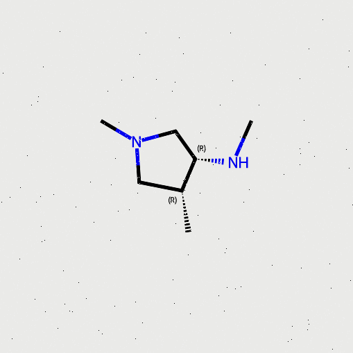 CN[C@H]1CN(C)C[C@H]1C